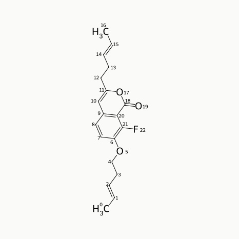 C/C=C/CCOc1ccc2cc(CC/C=C/C)oc(=O)c2c1F